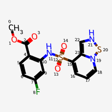 COC(=O)c1ccc(F)cc1NS(=O)(=O)C1=CC=CN2SNC=C12